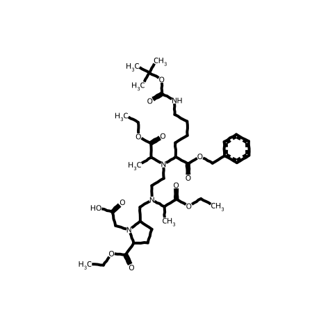 CCOC(=O)C(C)N(CCN(C(C)C(=O)OCC)C(CCCCNC(=O)OC(C)(C)C)C(=O)OCc1ccccc1)CC1CCC(C(=O)OCC)N1CC(=O)O